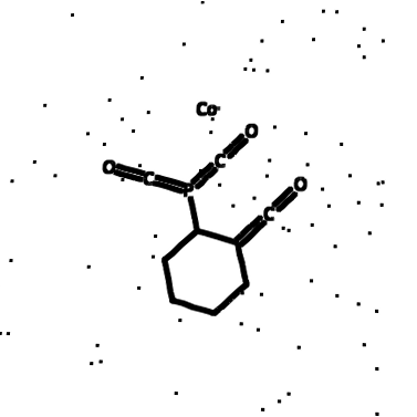 O=C=C1CCCCC1P(=C=O)=C=O.[Co]